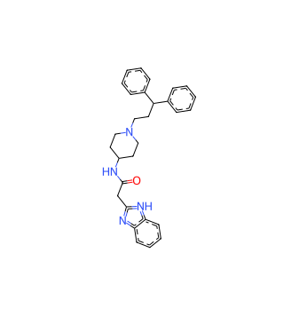 O=C(Cc1nc2ccccc2[nH]1)NC1CCN(CCC(c2ccccc2)c2ccccc2)CC1